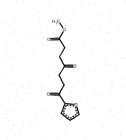 COC(=O)CCC(=O)CCC(=O)c1ccco1